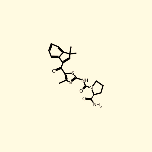 Cc1nc(NC(=O)N2CCC[C@H]2C(N)=O)sc1C(=O)C1=CC(C)(C)c2ccccc21